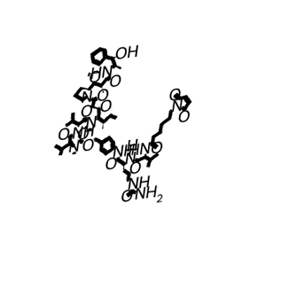 CC[C@H](C)[C@@H]([C@@H](CC(=O)N1CCC[C@H]1[C@H](OC)[C@@H](C)C(=O)N[C@H](C)[C@@H](O)c1ccccc1)OC)N(C)C(=O)[C@@H](NC(=O)C(C(C)C)N(C)C(=O)OCc1ccc(NC(=O)[C@@H](CCCNC(N)=O)NC(=O)[C@@H](NC(=O)CCCCCN2C(=O)C=CC2=O)C(C)C)cc1)C(C)C